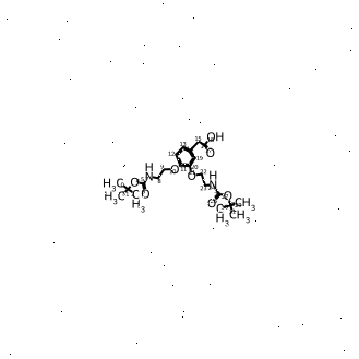 CC(C)(C)OC(=O)NCCOc1ccc(CC(=O)O)cc1OCCNC(=O)OC(C)(C)C